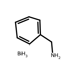 NCc1[c]cccc1.[BiH3]